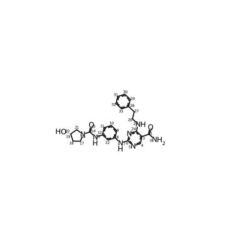 NC(=O)c1cnc(Nc2cccc(NC(=O)N3CC[C@H](O)C3)c2)nc1NCCc1ccccc1